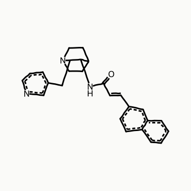 O=C(/C=C/c1ccc2ccccc2c1)NC1C2CCN(CC2)C1Cc1cccnc1